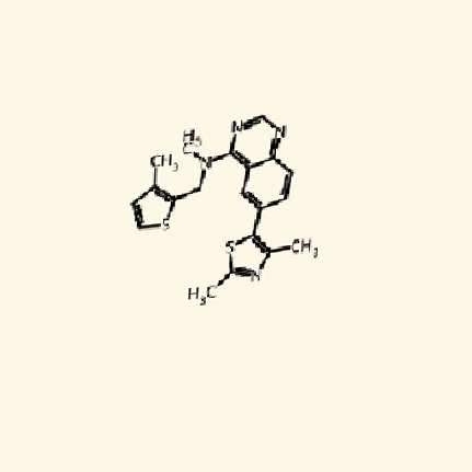 Cc1nc(C)c(-c2ccc3ncnc(N(C)Cc4sccc4C)c3c2)s1